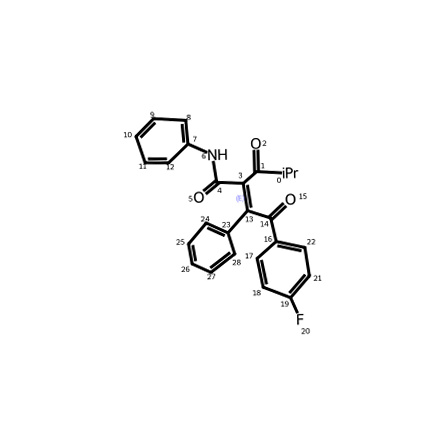 CC(C)C(=O)/C(C(=O)Nc1ccccc1)=C(\C(=O)c1ccc(F)cc1)c1ccccc1